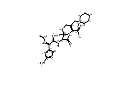 CO/N=C(\C(=O)NC1C(=O)N2C(C(=O)[O-])=C(C[N+]3(C)CCCCC3)CS[C@@H]12)c1csc(N)n1